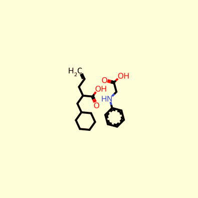 C=CCC(CC1CCCCC1)C(=O)O.O=C(O)CNc1ccccc1